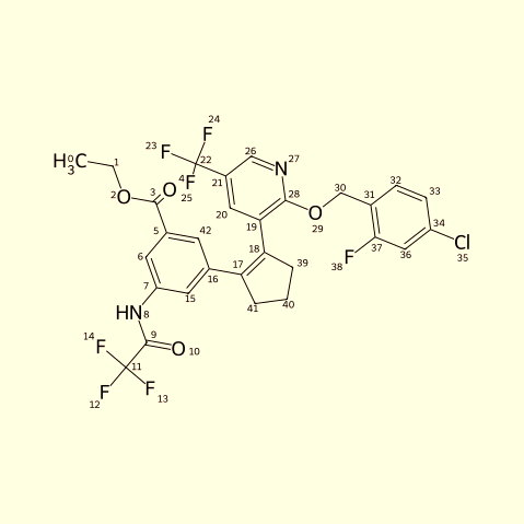 CCOC(=O)c1cc(NC(=O)C(F)(F)F)cc(C2=C(c3cc(C(F)(F)F)cnc3OCc3ccc(Cl)cc3F)CCC2)c1